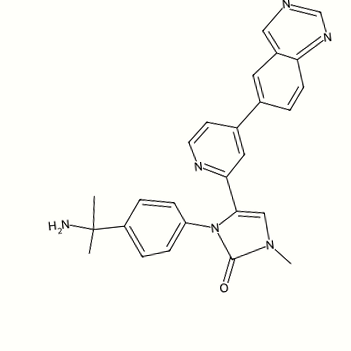 Cn1cc(-c2cc(-c3ccc4ncncc4c3)ccn2)n(-c2ccc(C(C)(C)N)cc2)c1=O